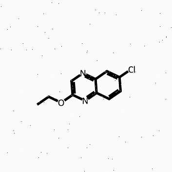 CCOc1cnc2cc(Cl)ccc2n1